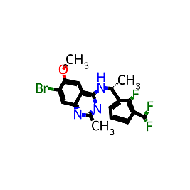 COc1cc2c(N[C@H](C)c3cccc(C(F)F)c3F)nc(C)nc2cc1Br